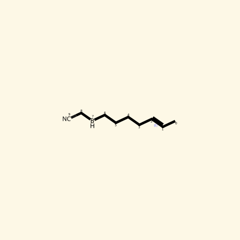 C/C=C/CCCCBCC#N